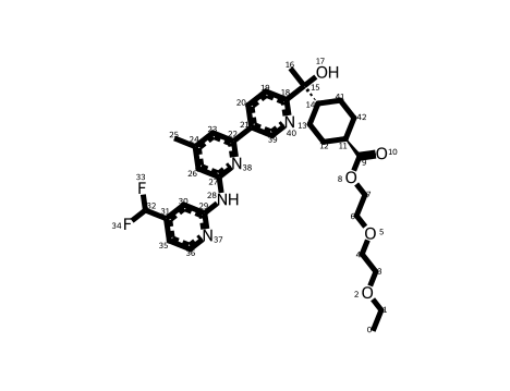 CCOCCOCCOC(=O)[C@H]1CC[C@H](C(C)(O)c2ccc(-c3cc(C)cc(Nc4cc(C(F)F)ccn4)n3)cn2)CC1